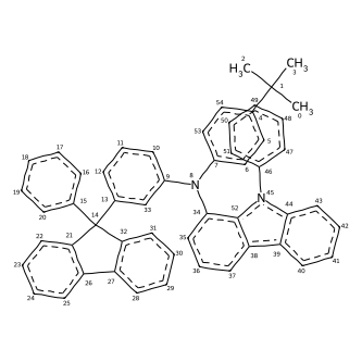 CC(C)(C)c1ccc(N(c2cccc(C3(c4ccccc4)c4ccccc4-c4ccccc43)c2)c2cccc3c4ccccc4n(-c4ccccc4)c23)cc1